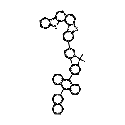 CC1(C)c2ccc(-c3c4ccccc4c(-c4ccc5ccccc5c4)c4ccccc34)cc2-c2ccc(-c3ccc4c(c3)sc3ccc5ccc6c7ccccc7sc6c5c34)cc21